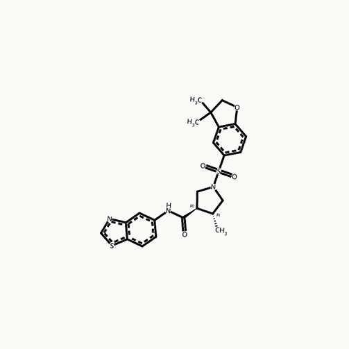 C[C@H]1CN(S(=O)(=O)c2ccc3c(c2)C(C)(C)CO3)C[C@@H]1C(=O)Nc1ccc2scnc2c1